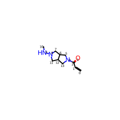 C=CC(=O)N1CC2CN(NC)CC2C1